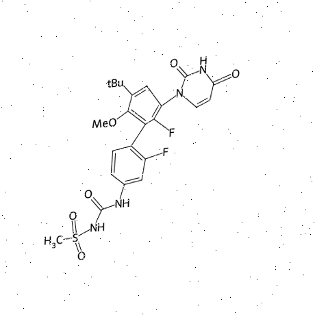 COc1c(C(C)(C)C)cc(-n2ccc(=O)[nH]c2=O)c(F)c1-c1ccc(NC(=O)NS(C)(=O)=O)cc1F